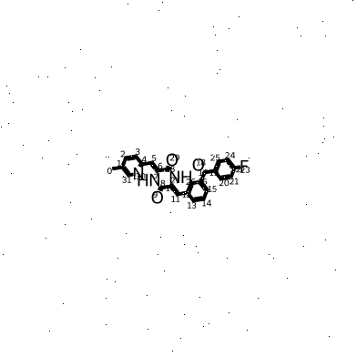 Cc1ccc(C=c2[nH]c(=O)c(=Cc3cccc(C(=O)c4ccc(F)cc4)c3)[nH]c2=O)nc1